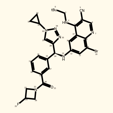 CC(C)(C)CNc1c(C#N)cnc2c(Br)cc(N[C@@H](c3cccc(C(=O)N4CC(F)C4)c3)c3cn(C4CC4)nn3)cc12